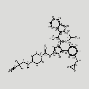 CC(C)(C#N)CNC1CCN(C(=O)Cn2cc(NC(O)c3cnn4cccnc34)c(-c3cc(SC4CC4)ccc3OC(F)F)n2)CC1